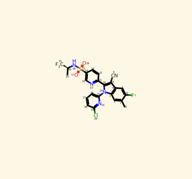 Cc1cc2c(cc1F)c(C#N)c(-c1ccc(S(=O)(=O)N[C@@H](C)C(F)(F)F)cn1)n2-c1cccc(Cl)n1